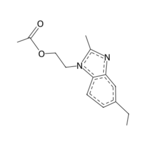 CCc1ccc2c(c1)nc(C)n2CCOC(C)=O